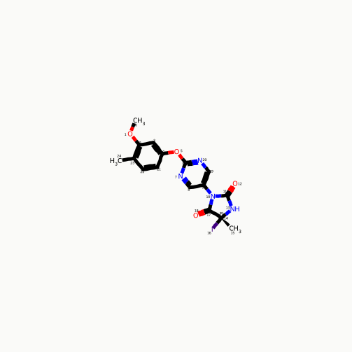 COc1cc(Oc2ncc(N3C(=O)N[C@](C)(I)C3=O)cn2)ccc1C